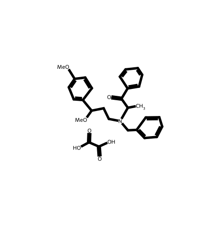 COc1ccc(C(CCN(Cc2ccccc2)C(C)C(=O)c2ccccc2)OC)cc1.O=C(O)C(=O)O